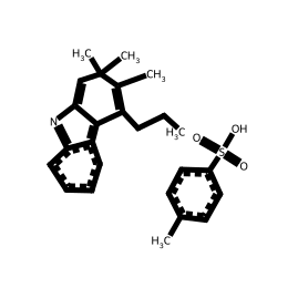 CCCC1=C(C)C(C)(C)C=C2N=c3ccccc3=C21.Cc1ccc(S(=O)(=O)O)cc1